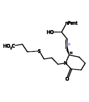 CCCCCC(O)/C=C/[C@H]1CCCC(=O)N1CCCSCCC(=O)O